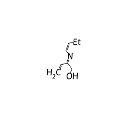 C=C/C(CO)=N\C=C/CC